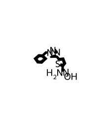 N/C(=N\O)c1ccc(-c2cn(Cc3ccccc3)nn2)s1